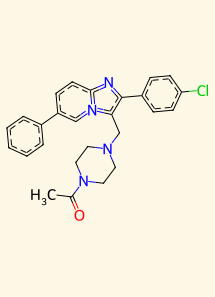 CC(=O)N1CCN(Cc2c(-c3ccc(Cl)cc3)nc3ccc(-c4ccccc4)cn23)CC1